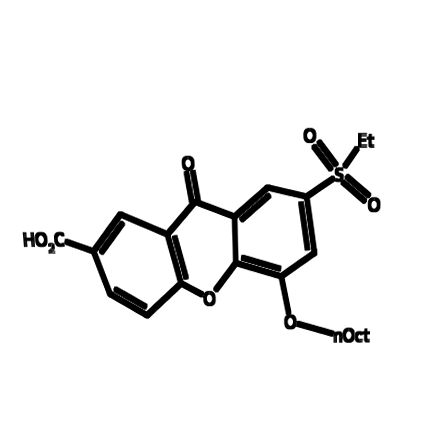 CCCCCCCCOc1cc(S(=O)(=O)CC)cc2c(=O)c3cc(C(=O)O)ccc3oc12